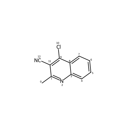 Cc1nc2ccccc2c(Cl)c1C#N